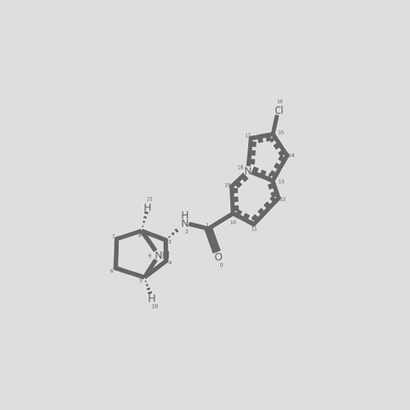 O=C(N[C@@H]1C[C@H]2CC[C@@H]1N2)c1ccc2cc(Cl)cn2c1